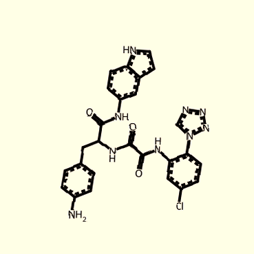 Nc1ccc(CC(NC(=O)C(=O)Nc2cc(Cl)ccc2-n2cnnn2)C(=O)Nc2ccc3[nH]ccc3c2)cc1